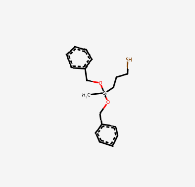 C[Si](CCCS)(OCc1ccccc1)OCc1ccccc1